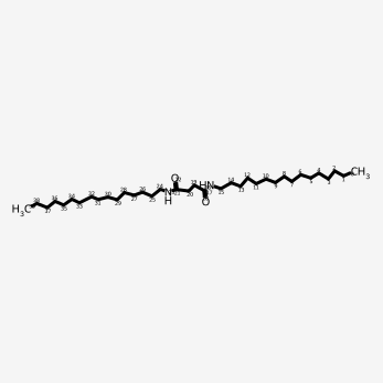 CCCCCCCCCCCCCCCCNC(=O)CCC(=O)NCCCCCCCCCCCCCCCC